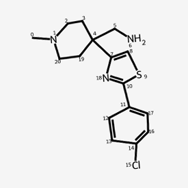 CN1CCC(CN)(c2csc(-c3ccc(Cl)cc3)n2)CC1